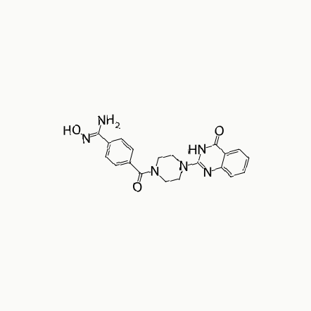 NC(=NO)c1ccc(C(=O)N2CCN(c3nc4ccccc4c(=O)[nH]3)CC2)cc1